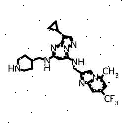 Cc1cc(C(F)(F)F)cc2nc(CNc3cc(NCC4CCNCC4)nc4c(C5CC5)cnn34)cn12